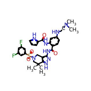 CN(C)CCNc1ccc(C(=O)Nc2n[nH]c3c2CN(S(=O)(=O)c2cc(F)cc(F)c2)CC3(C)C)c(NC(=O)c2ccc[nH]2)c1